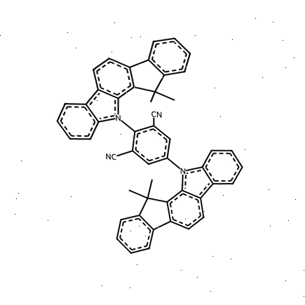 CC1(C)c2ccccc2-c2ccc3c4ccccc4n(-c4cc(C#N)c(-n5c6ccccc6c6ccc7c(c65)C(C)(C)c5ccccc5-7)c(C#N)c4)c3c21